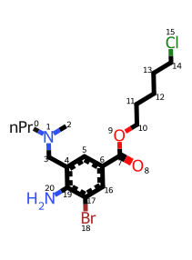 CCCN(C)Cc1cc(C(=O)OCCCCCCl)cc(Br)c1N